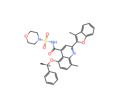 Cc1c(-c2cc(C(=O)NS(=O)(=O)N3CCOCC3)c3c(O[C@H](C)c4ccccc4)ccc(C)c3n2)oc2ccccc12